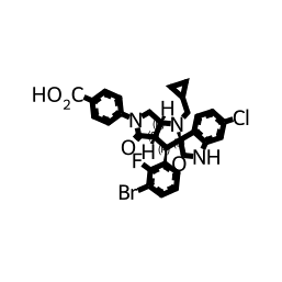 O=C(O)c1ccc(N2C[C@H]3[C@@H](C2=O)[C@H](c2cccc(Br)c2F)[C@]2(C(=O)Nc4cc(Cl)ccc42)N3CC2CC2)cc1